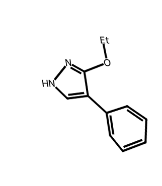 CCOc1n[nH]cc1-c1ccccc1